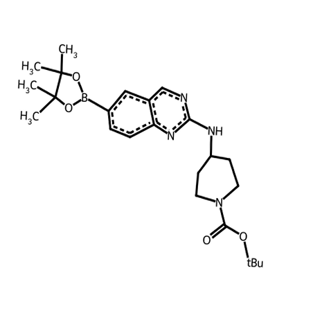 CC(C)(C)OC(=O)N1CCC(Nc2ncc3cc(B4OC(C)(C)C(C)(C)O4)ccc3n2)CC1